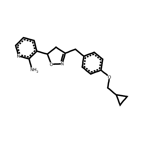 Nc1ncccc1C1CC(Cc2ccc(OCC3CC3)cc2)=NO1